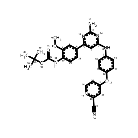 COc1cc(-c2cc(Nc3ccc(Oc4ccnc(C#N)c4)cc3)nc(N)n2)ccc1NC(=O)OC(C)(C)C